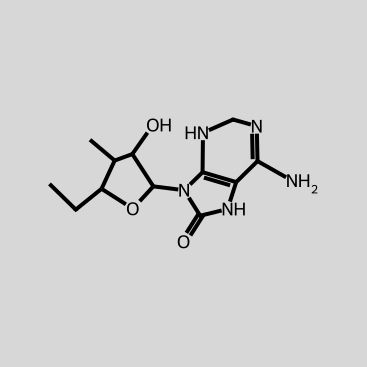 CCC1OC(n2c3c([nH]c2=O)C(N)=NCN3)C(O)C1C